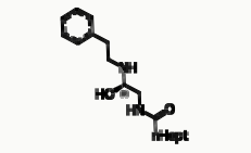 CCCCCCCC(=O)NC[C@@H](O)NCCc1ccccc1